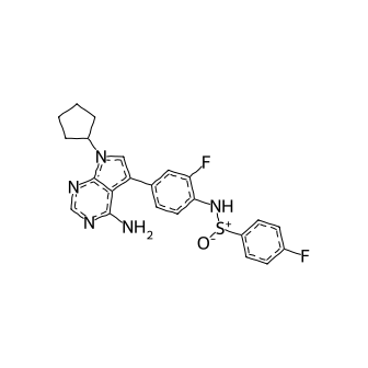 Nc1ncnc2c1c(-c1ccc(N[S+]([O-])c3ccc(F)cc3)c(F)c1)cn2C1CCCC1